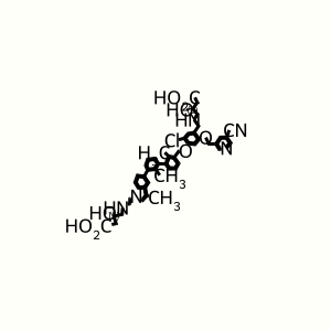 Cc1c(COc2cc(OCc3cncc(C#N)c3)c(CNC[C@@H](O)CC(=O)O)cc2Cl)cccc1-c1cccc(-c2ccc3c(c2)c(C)cn3CCNC[C@@H](O)CC(=O)O)c1C